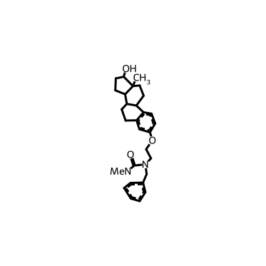 CNC(=O)N(CCOc1ccc2c(c1)CCC1C2CCC2(C)C(O)CCC12)Cc1ccccc1